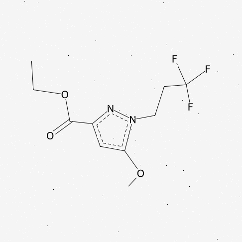 CCOC(=O)c1cc(OC)n(CCC(F)(F)F)n1